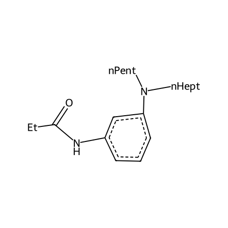 CCCCCCCN(CCCCC)c1cccc(NC(=O)CC)c1